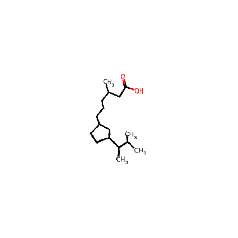 CC(CCCC1CCC(C(C)C(C)C)C1)CC(=O)O